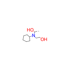 [CH2]C(O)N(CCO)C1CCCCC1